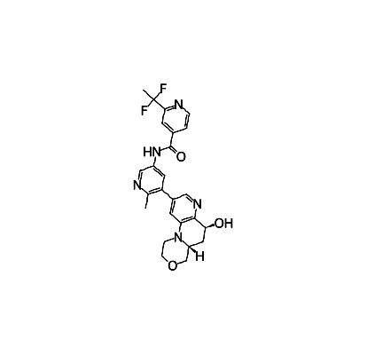 Cc1ncc(NC(=O)c2ccnc(C(C)(F)F)c2)cc1-c1cnc2c(c1)N1CCOC[C@H]1C[C@@H]2O